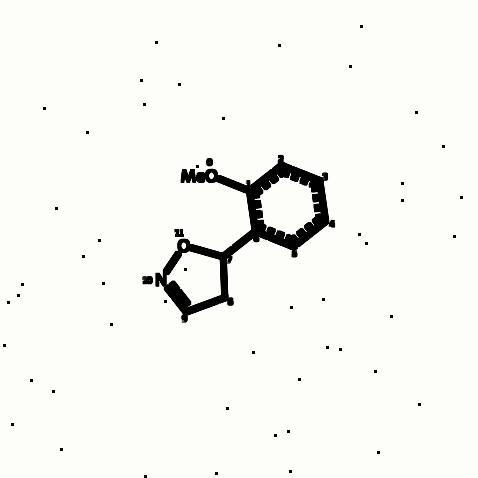 COc1ccccc1C1C[C]=NO1